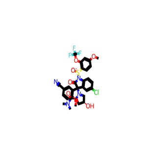 COc1ccc([S+]([O-])N2C(=O)C(c3cc(C#N)ccc3OC)(N3C[C@H](O)C[C@H]3C(=O)N(C)C)c3cc(Cl)ccc32)c(OC(F)(F)F)c1